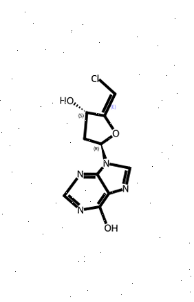 Oc1ncnc2c1ncn2[C@H]1C[C@H](O)/C(=C\Cl)O1